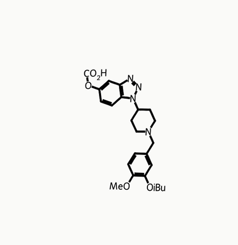 COc1ccc(CN2CCC(n3nnc4cc(OC(=O)O)ccc43)CC2)cc1OCC(C)C